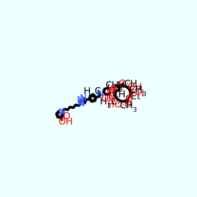 CC[C@H]1OC(=O)[C@H](C)[C@@H](O)[C@H](C)[C@@H](O[C@@H]2O[C@H](C)C[C@H](N(C)Cc3ccc(-c4cn(CCCCCCn5cccc(O)c5=O)nn4)cc3)[C@H]2O)[C@@]2(C)C[C@@H](CO2)C(=O)[C@H](C)[C@@H](O)[C@]1(C)O